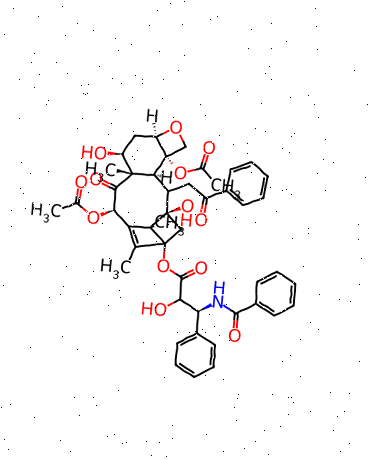 CC(=O)O[C@H]1C(=O)[C@@]2(C)[C@H](C(CC(=O)c3ccccc3)[C@]3(O)CC4(OC(=O)C(O)[C@@H](NC(=O)c5ccccc5)c5ccccc5)C(C)=C1[C@@]43C)[C@]1(OC(C)=O)CO[C@@H]1C[C@@H]2O